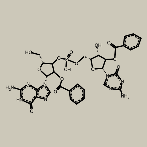 Nc1ncn([C@@H]2O[C@H](COP(=O)(O)OC3C(OC(=O)c4ccccc4)[C@H](n4cnc5c(=O)[nH]c(N)nc54)O[C@@H]3CO)[C@H](O)C2OC(=O)c2ccccc2)c(=O)n1